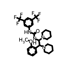 COc1ccccc1C(C(NC(=O)Nc1cc(C(F)(F)F)cc(C(F)(F)F)c1)N1CCCCC1)N1CCCCC1